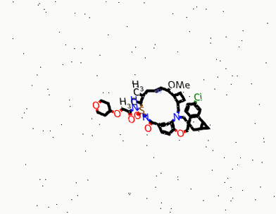 COC1/C=C/CC(C)C(C)S(=O)(NC(=O)COC2CCOCC2)=NC(=O)c2ccc3c(c2)N(CC2CCC21)CC1(CO3)CC2CC2c2cc(Cl)ccc21